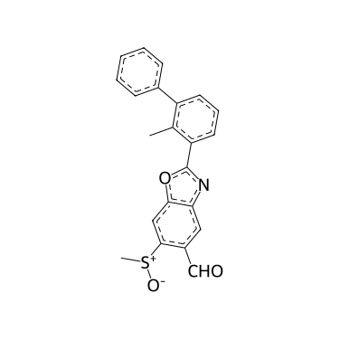 Cc1c(-c2ccccc2)cccc1-c1nc2cc(C=O)c([S+](C)[O-])cc2o1